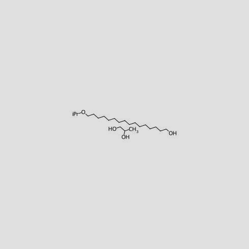 CC(C)OCCCCCCCCCCCCCCCCO.CC(O)CO